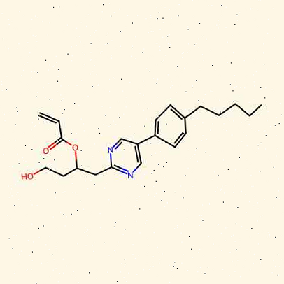 C=CC(=O)OC(CCO)Cc1ncc(-c2ccc(CCCCC)cc2)cn1